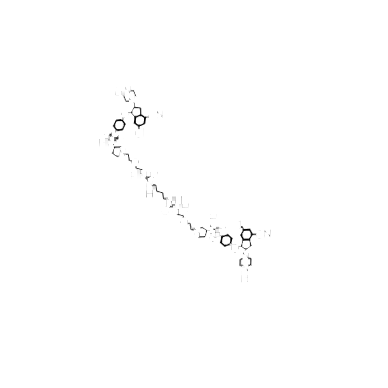 C[C@@H]1CN([C@H]2Cc3c(C#N)cc(Cl)cc3[C@@H]2Oc2ccc(S(=O)(=O)N[C@H]3CCN(CCOCCNC(=O)NCCCCNC(=O)NCCOCCN4CC[C@H](NS(=O)(=O)c5ccc(O[C@H]6c7cc(Cl)cc(C#N)c7C[C@@H]6N6C[C@@H](C)N[C@@H](C)C6)cc5)C4)C3)cc2)C[C@H](C)N1